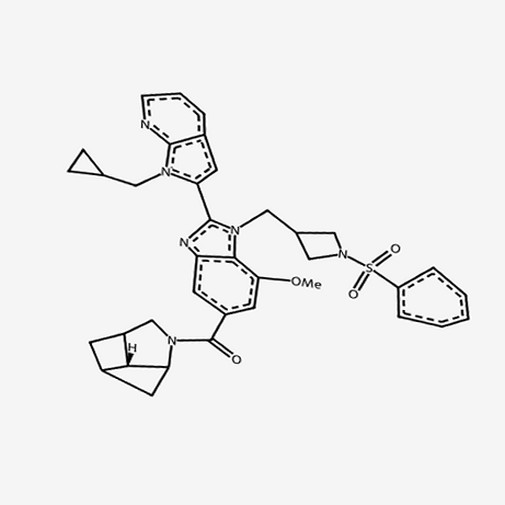 COc1cc(C(=O)N2CC3CC4CC2[C@H]43)cc2nc(-c3cc4cccnc4n3CC3CC3)n(CC3CN(S(=O)(=O)c4ccccc4)C3)c12